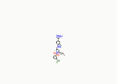 C[C@@H]1C[C@H](Cn2ncc3cc(-c4cn[nH]c4)ccc32)CN1S(=O)(=O)c1cccc(C(F)F)c1